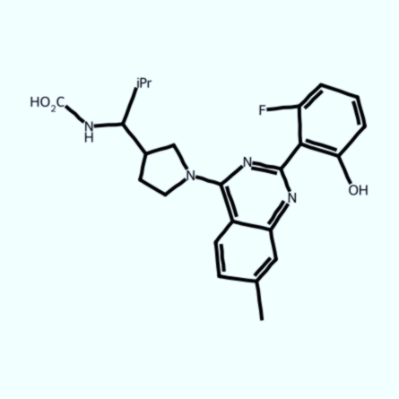 Cc1ccc2c(N3CCC(C(NC(=O)O)C(C)C)C3)nc(-c3c(O)cccc3F)nc2c1